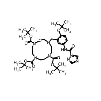 CC(C)(C)OC(=O)N1CCN(Cc2cc(NC(=O)n3cncn3)ccc2OC(C)(C)C)CCN(C(=O)OC(C)(C)C)CCN(C(=O)OC(C)(C)C)CC1